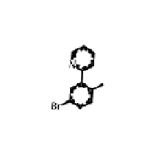 Cc1ccc(Br)cc1-c1ccccn1